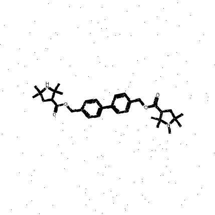 CN1C(C)(C)CC(C(=O)OCc2ccc(-c3ccc(COC(=O)C4CC(C)(C)NC4(C)C)cc3)cc2)C1(C)C